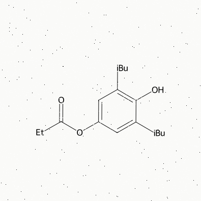 CCC(=O)Oc1cc(C(C)CC)c(O)c(C(C)CC)c1